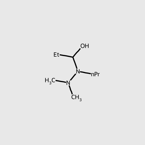 CCCN(C(O)CC)N(C)C